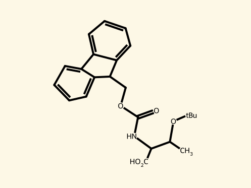 CC(OC(C)(C)C)C(NC(=O)OCC1c2ccccc2-c2ccccc21)C(=O)O